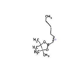 CCCC/C=C\B1OC(C)(C)C(C)(C)O1